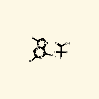 Nc1nc(Br)cn2c(I)cnc12.O=C(O)C(F)(F)F